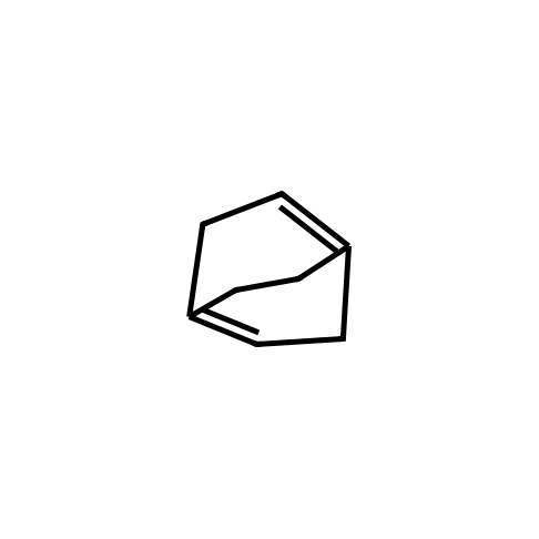 C1=C2CC=C(C1)CC2